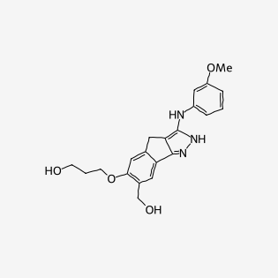 COc1cccc(Nc2[nH]nc3c2Cc2cc(OCCCO)c(CO)cc2-3)c1